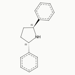 c1ccc([C@@H]2CC[C@@H](c3ccccc3)N2)cc1